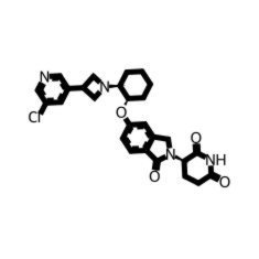 O=C1CC[C@@H](N2Cc3cc(O[C@H]4CCCC[C@@H]4N4CC(c5cncc(Cl)c5)C4)ccc3C2=O)C(=O)N1